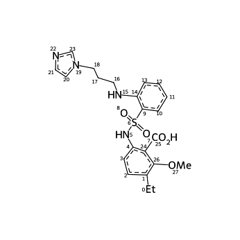 CCc1ccc(NS(=O)(=O)c2ccccc2NCCCn2ccnc2)c(C(=O)O)c1OC